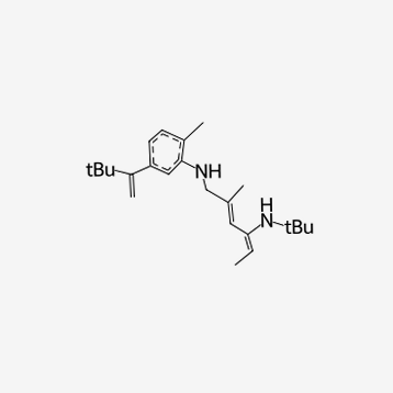 C=C(c1ccc(C)c(NC/C(C)=C/C(=C\C)NC(C)(C)C)c1)C(C)(C)C